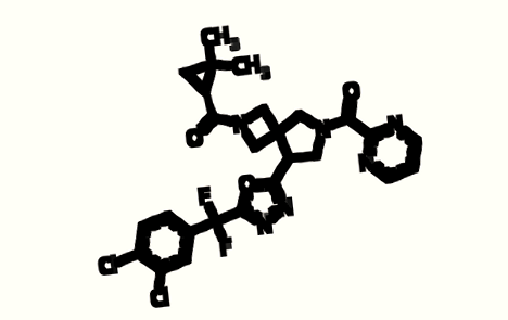 CC1(C)C[C@@H]1C(=O)N1CC2(CN(C(=O)c3ncccn3)CC2c2nnc(C(F)(F)c3ccc(Cl)c(Cl)c3)o2)C1